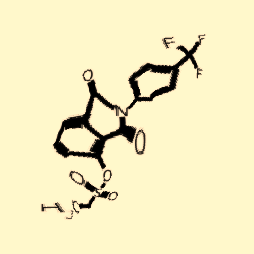 CCS(=O)(=O)Oc1cccc2c1C(=O)N(c1ccc(C(F)(F)F)cc1)C2=O